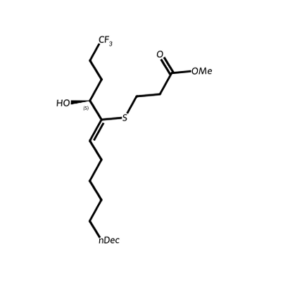 CCCCCCCCCCCCCCC=C(SCCC(=O)OC)[C@@H](O)CCC(F)(F)F